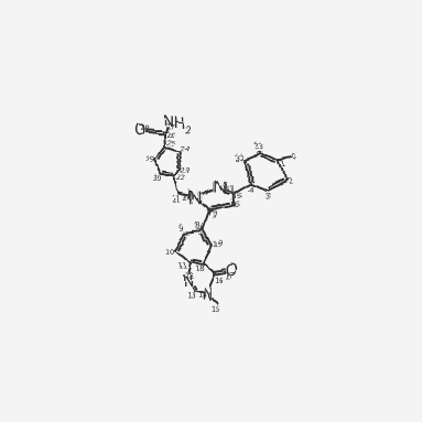 Cc1ccc(-c2cc(-c3ccc4ncn(C)c(=O)c4c3)n(Cc3ccc(C(N)=O)cc3)n2)cc1